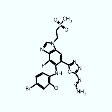 CS(=O)(=O)CCn1cnc2c(F)c(Nc3ccc(Br)cc3Cl)c(-c3nnc(N=NN)o3)cc21